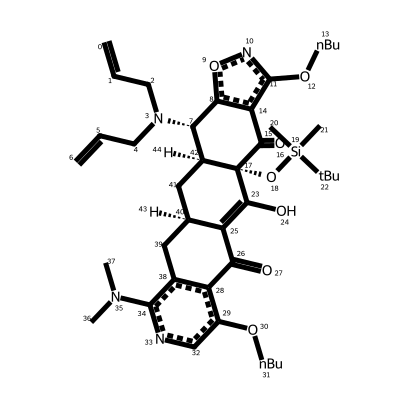 C=CCN(CC=C)[C@@H]1c2onc(OCCCC)c2C(=O)[C@@]2(O[Si](C)(C)C(C)(C)C)C(O)=C3C(=O)c4c(OCCCC)cnc(N(C)C)c4C[C@H]3C[C@@H]12